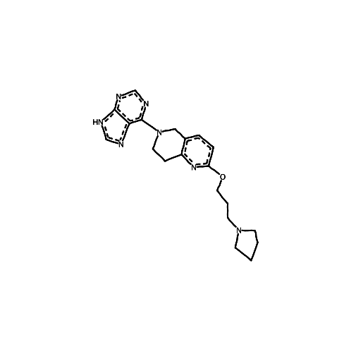 c1nc(N2CCc3nc(OCCCN4CCCC4)ccc3C2)c2nc[nH]c2n1